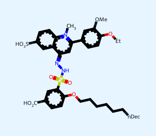 CCCCCCCCCCCCCCCCOc1ccc(C(=O)O)cc1S(=O)(=O)NN=c1cc(-c2ccc(OCC)c(OC)c2)n(C)c2ccc(S(=O)(=O)O)cc12